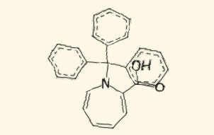 O=C(O)C1=CC=CC=CN1C(c1ccccc1)(c1ccccc1)c1ccccc1